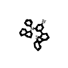 Brc1cc(-c2cccc3c2sc2ccccc23)cc(N(c2ccccc2)c2cccc3ccccc23)c1